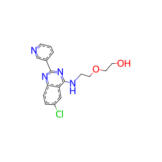 OCCOCCNc1nc(-c2cccnc2)nc2ccc(Cl)cc12